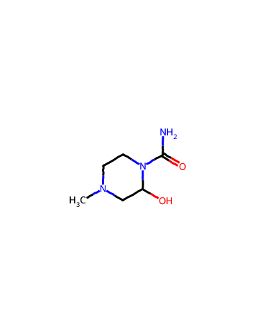 CN1CCN(C(N)=O)C(O)C1